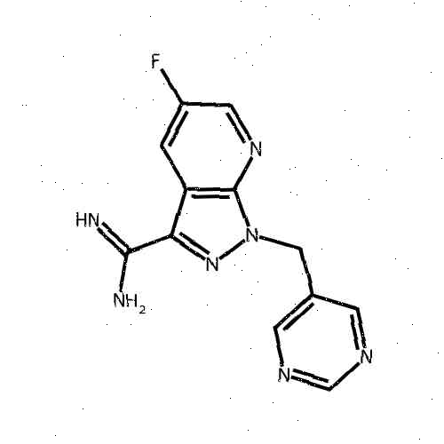 N=C(N)c1nn(Cc2cncnc2)c2ncc(F)cc12